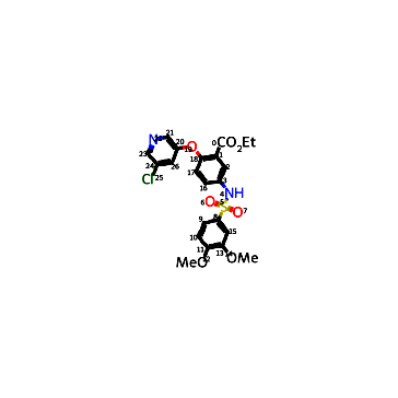 CCOC(=O)c1cc(NS(=O)(=O)c2ccc(OC)c(OC)c2)ccc1Oc1cncc(Cl)c1